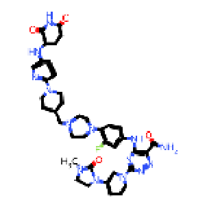 CN1CCN(C2CCCN(c3nnc(C(N)=O)c(Nc4ccc(N5CCN(CC6CCN(c7ccc(NC8CCC(=O)NC8=O)cn7)CC6)CC5)c(F)c4)n3)C2)C1=O